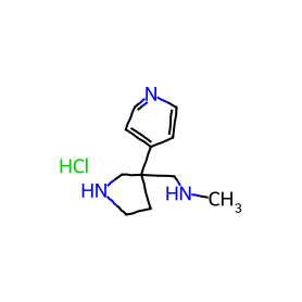 CNCC1(c2ccncc2)CCNC1.Cl